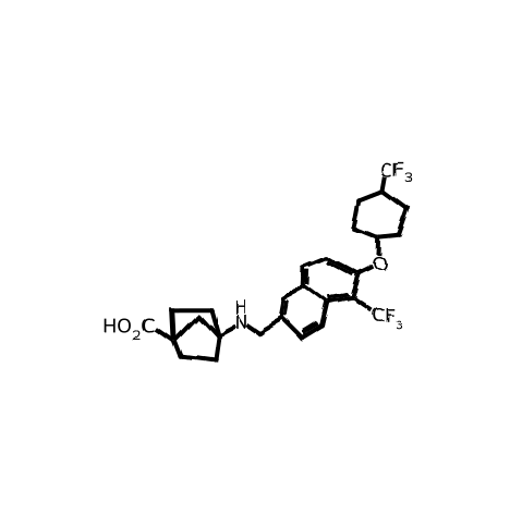 O=C(O)C12CCC(NCc3ccc4c(C(F)(F)F)c(OC5CCC(C(F)(F)F)CC5)ccc4c3)(CC1)C2